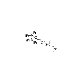 CC(C)N(C(C)C)P(OCCOCSC(=O)CCN(C)C)N(C(C)C)C(C)C